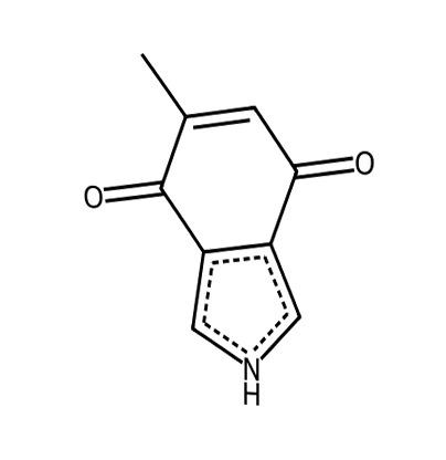 CC1=CC(=O)c2c[nH]cc2C1=O